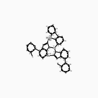 CCC(C)C1=Cc2c(-c3ccccc3C)cccc2[CH]1[Zr]([c]1cccc2c1[SiH2]c1ccccc1-2)[CH]1C(C(C)CC)=Cc2c(-c3ccccc3C)cccc21